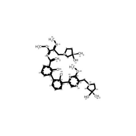 C=C(/N=C(OC)\C(CN1CC[C@](C)(O)C1)=N/C)c1cccc(-c2cccc(-c3cnc(CN4CC[C@](C)(O)C4)c(OC)n3)c2Cl)c1Cl